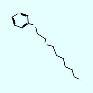 BrCCCCCCOCCOc1cccnc1